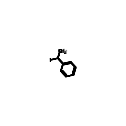 [CH2]C(I)c1ccccc1